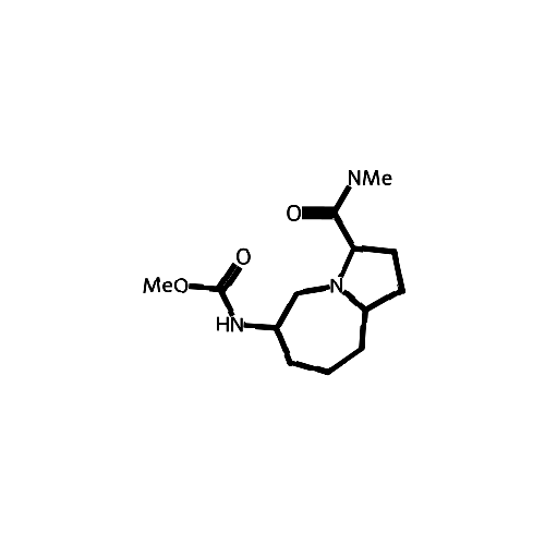 CNC(=O)C1CCC2CCCC(NC(=O)OC)CN21